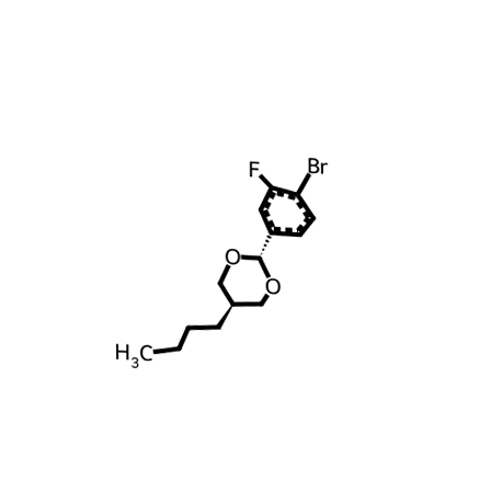 CCCC[C@H]1CO[C@H](c2ccc(Br)c(F)c2)OC1